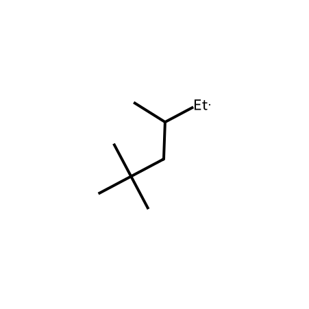 C[CH]C(C)CC(C)(C)C